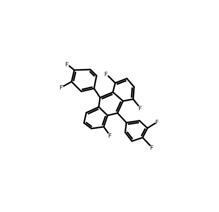 Fc1ccc(-c2c3cccc(F)c3c(-c3ccc(F)c(F)c3)c3c(F)ccc(F)c23)cc1F